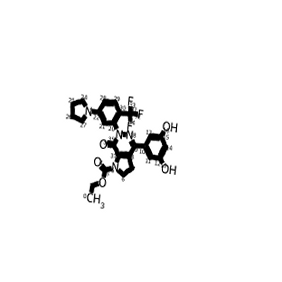 CCOC(=O)N1CCc2c(-c3cc(O)cc(O)c3)nn(-c3cc(N4CCCC4)ccc3C(F)(F)F)c(=O)c21